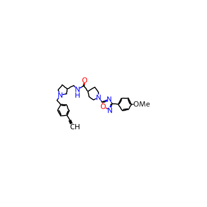 C#Cc1ccc(CN2CCC(CNC(=O)C3CCN(c4nc(-c5ccc(OC)cc5)no4)CC3)C2)cc1